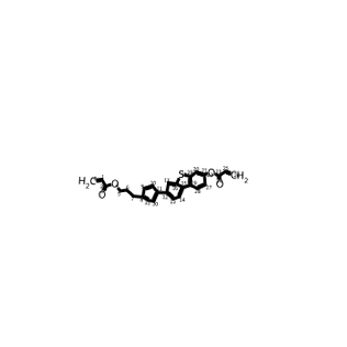 C=CC(=O)OCCCc1ccc(-c2ccc3c(c2)sc2cc(OC(=O)C=C)ccc23)cc1